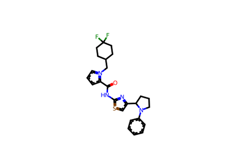 O=C(Nc1nc(C2CCCN2c2ccccc2)cs1)c1cccn1CC1CCC(F)(F)CC1